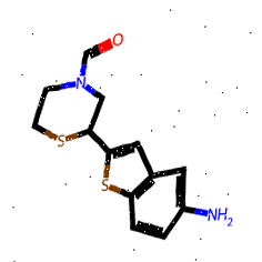 Nc1ccc2sc(C3CN(C=O)CCS3)cc2c1